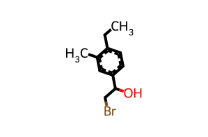 CCc1ccc(C(O)CBr)cc1C